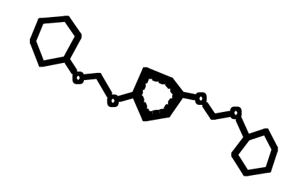 c1cc(OCOC2CCCCC2)ccc1OCOC1CCCCC1